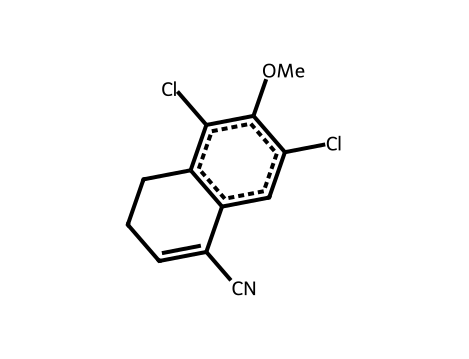 COc1c(Cl)cc2c(c1Cl)CCC=C2C#N